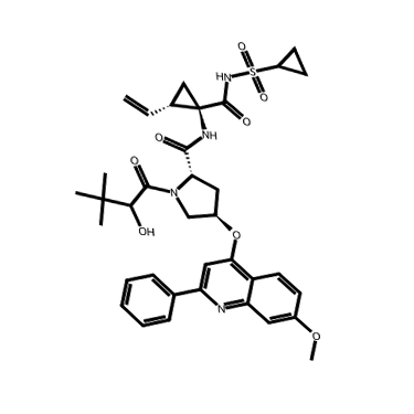 C=C[C@@H]1C[C@]1(NC(=O)[C@@H]1C[C@@H](Oc2cc(-c3ccccc3)nc3cc(OC)ccc23)CN1C(=O)C(O)C(C)(C)C)C(=O)NS(=O)(=O)C1CC1